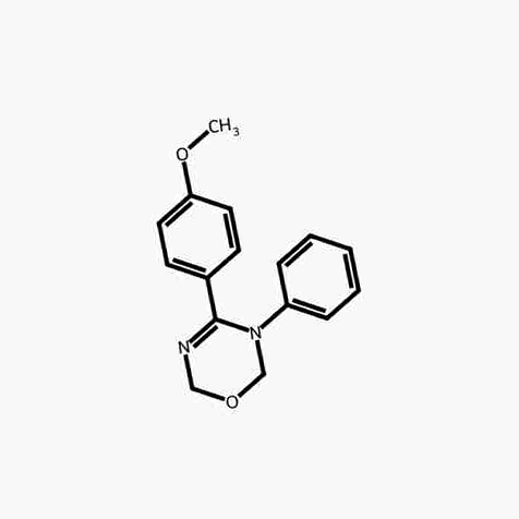 COc1ccc(C2=NCOCN2c2ccccc2)cc1